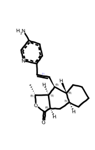 C[C@H]1OC(=O)[C@@H]2C[C@@H]3CCCC[C@H]3[C@H](/C=C/c3ccc(N)cn3)[C@H]12